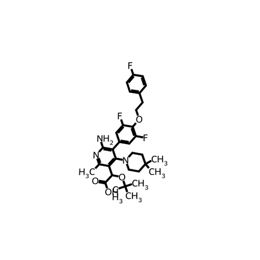 Cc1nc(N)c(-c2cc(F)c(OCCc3ccc(F)cc3)c(F)c2)c(N2CCC(C)(C)CC2)c1C(OC(C)(C)C)C(=O)O